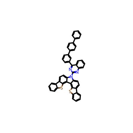 c1ccc(-c2ccc(-c3cccc(-c4nc(-n5c6ccc7c8ccccc8sc7c6c6c7sc8ccccc8c7ccc65)nc5ccccc45)c3)cc2)cc1